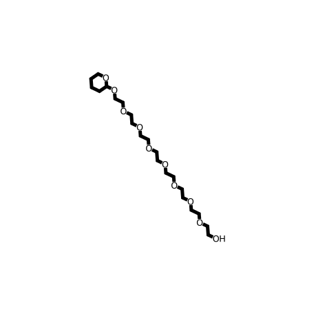 OCCOCCOCCOCCOCCOCCOCCOCCOC1CCCCO1